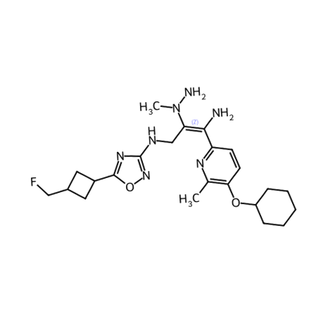 Cc1nc(/C(N)=C(\CNc2noc(C3CC(CF)C3)n2)N(C)N)ccc1OC1CCCCC1